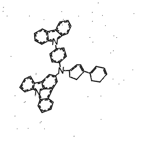 C1=CCCC(C2=CC=C(N(c3ccc(-n4c5ccccc5c5ccccc54)cc3)c3cc4c5ccccc5n5c6ccccc6c(c3)c45)CC2)=C1